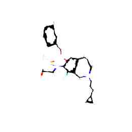 O=C1CN(c2c(OCc3ccccc3)cc3c(c2F)CN(CCCC2CC2)CC3)S(=O)(=O)N1